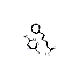 O=C(O)/C=C\C(=O)O.O=C(O)C=CC=Cc1ccccc1